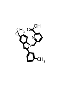 COc1ccc2c(c1)cc(-c1cccc(C)c1)n2Cc1cccc(C(=O)O)n1